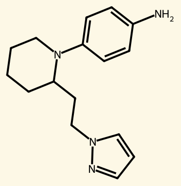 Nc1ccc(N2CCCCC2CCn2cccn2)cc1